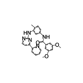 COc1cc(OC)cc(C(=O)Nc2ccc(C)c(Nc3nccc(-c4ccccn4)n3)c2)c1